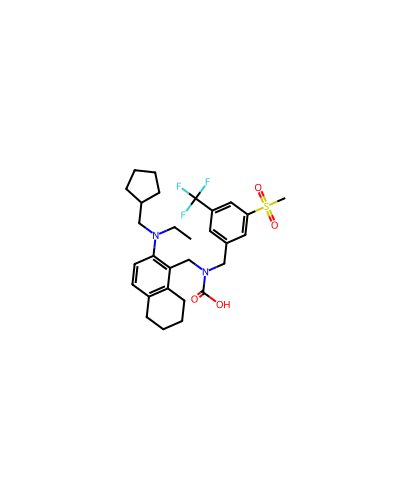 CCN(CC1CCCC1)c1ccc2c(c1CN(Cc1cc(C(F)(F)F)cc(S(C)(=O)=O)c1)C(=O)O)CCCC2